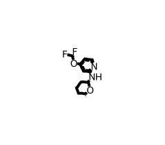 FC(F)Oc1ccnc(NC2CCC[CH]O2)c1